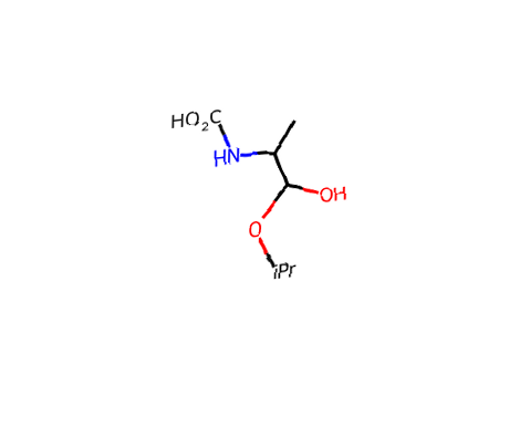 CC(C)OC(O)C(C)NC(=O)O